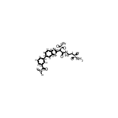 CC(C)S(=O)(=O)C(C(=O)NCCS(N)(=O)=O)c1nc2ccc(-c3cccc(C(=O)N(C)C)c3)cc2s1